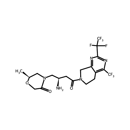 C[C@H]1CN(C[C@H](N)CC(=O)N2CCc3c(nc(C(F)(F)C(F)(F)F)nc3C(F)(F)F)C2)C(=O)CO1